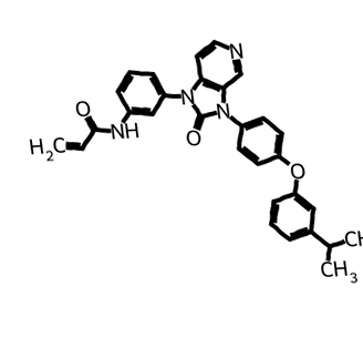 C=CC(=O)Nc1cccc(-n2c(=O)n(-c3ccc(Oc4cccc(C(C)C)c4)cc3)c3cnccc32)c1